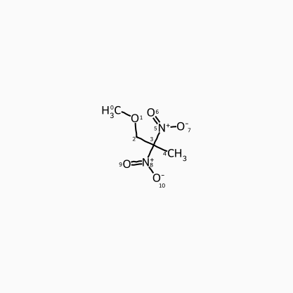 COCC(C)([N+](=O)[O-])[N+](=O)[O-]